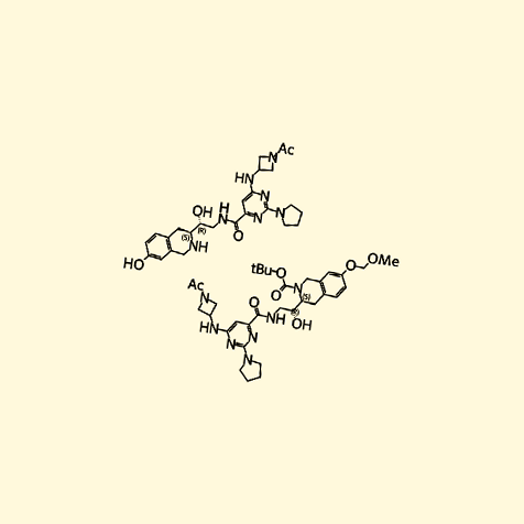 CC(=O)N1CC(Nc2cc(C(=O)NC[C@@H](O)[C@@H]3Cc4ccc(O)cc4CN3)nc(N3CCCC3)n2)C1.COCOc1ccc2c(c1)CN(C(=O)OC(C)(C)C)[C@H]([C@H](O)CNC(=O)c1cc(NC3CN(C(C)=O)C3)nc(N3CCCC3)n1)C2